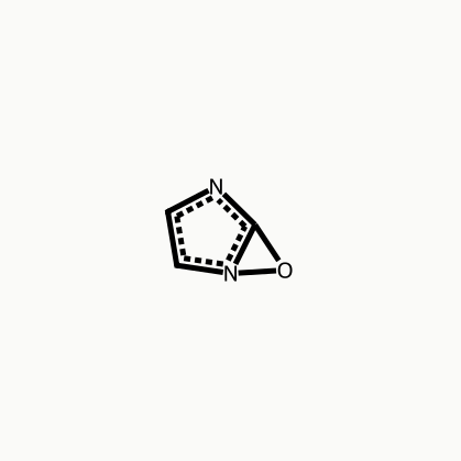 c1cn2c(n1)O2